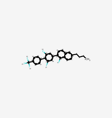 CCCCc1ccc2c(F)c(-c3cc(F)c(-c4ccc(C(F)(F)F)cc4)c(F)c3)ccc2c1